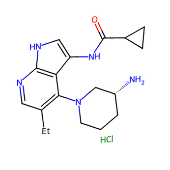 CCc1cnc2[nH]cc(NC(=O)C3CC3)c2c1N1CCC[C@@H](N)C1.Cl